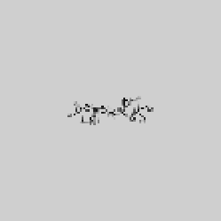 CC1(C)CN=C(SSC2=NCC(C)(C)S2)S1